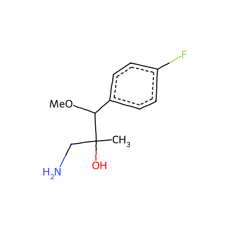 COC(c1ccc(F)cc1)C(C)(O)CN